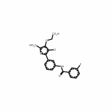 O=C(O)COc1c(C(=O)O)sc(-c2cccc(NC(=O)c3cccc(F)c3)c2)c1Cl